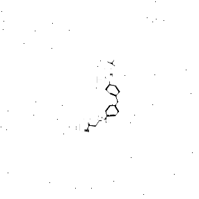 CC(C)(C)OC(=O)Nc1ccc(Cc2ccc(NC(=O)CC(=O)C(F)(F)F)cc2)cc1